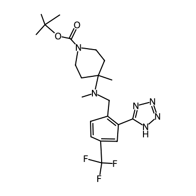 CN(Cc1ccc(C(F)(F)F)cc1-c1nnn[nH]1)C1(C)CCN(C(=O)OC(C)(C)C)CC1